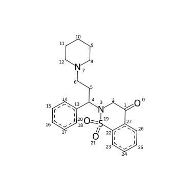 O=C1CN(C(CCN2CCCCC2)c2ccccc2)S(=O)(=O)c2ccccc21